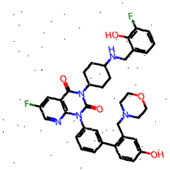 O=c1c2cc(F)cnc2n(-c2cccc(-c3ccc(O)cc3CN3CCOCC3)c2)c(=O)n1C1CCC(NCc2cccc(F)c2O)CC1